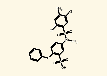 CN(c1ccc(Oc2ccccc2)c(S(=O)(=O)O)c1)S(=O)(=O)c1cc(Cl)c(N)cc1Cl